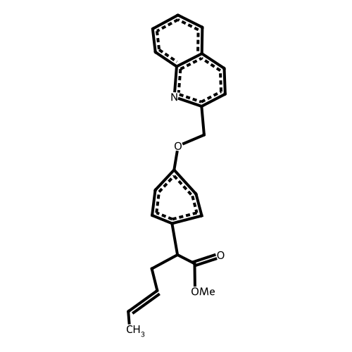 C/C=C/CC(C(=O)OC)c1ccc(OCc2ccc3ccccc3n2)cc1